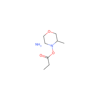 CCC(=O)ON1CCOCC1C.N